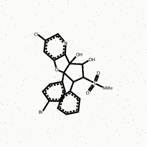 CNS(=O)(=O)C1C(O)C2(O)c3ncc(Cl)cc3OC2(c2ccc(Br)cc2)C1c1ccccc1